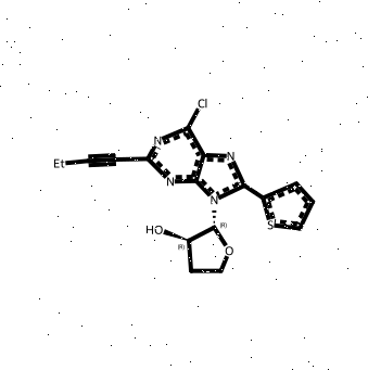 CCC#Cc1nc(Cl)c2nc(-c3cccs3)n([C@@H]3OCC[C@H]3O)c2n1